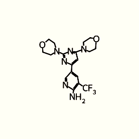 Nc1ncc(-c2cc(N3CCOCC3)nc(N3CCOCC3)n2)cc1C(F)(F)F